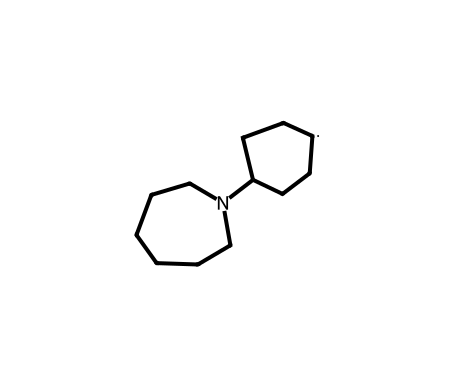 [CH]1CCC(N2CCCCCC2)CC1